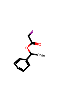 COC(OC(=O)CI)c1ccccc1